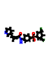 O=C(Nc1ccc(S(=O)(=O)c2cc(F)cc(F)c2)cc1)C1CC1c1cccnc1